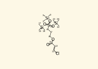 C[Si](C)(C)O[Si](CCCOC(=O)C=CCl)(O[Si](C)(C)C)O[Si](C)(C)C